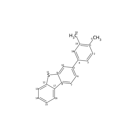 Cc1ccc(-c2ccc3c(c2)sc2ccccc23)cc1C